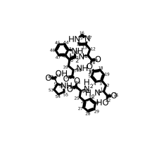 N[C@@H](Cc1ccc(OC(=O)[C@@H](N)Cc2c[nH]cn2)cc1)C(=O)O.N[C@@H](Cc1ccccc1)C(=O)OC(=O)[C@@H](N)Cc1c[nH]c2ccccc12.O=C(O)[C@@H]1CCCN1